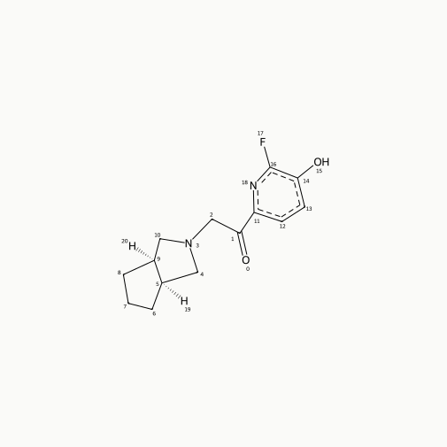 O=C(CN1C[C@H]2CCC[C@H]2C1)c1ccc(O)c(F)n1